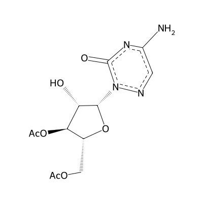 CC(=O)OC[C@H]1O[C@@H](n2ncc(N)nc2=O)[C@@H](O)[C@@H]1OC(C)=O